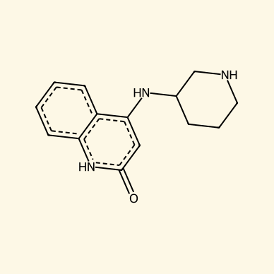 O=c1cc(NC2CCCNC2)c2ccccc2[nH]1